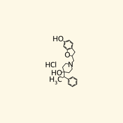 CC(c1ccccc1)C1(O)CCN(CC2Cc3ccc(O)cc3O2)CC1.Cl